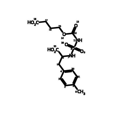 Cc1ccc(CC(NS(=O)(=O)NC(=O)OCCCC(=O)O)C(=O)O)cc1